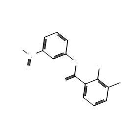 Cc1cccc(C(=O)Nc2cccc([N+](=O)[O-])c2)c1O